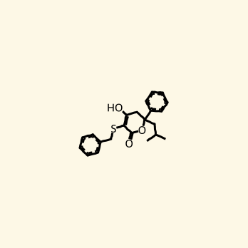 CC(C)CC1(c2ccccc2)CC(O)=C(SCc2ccccc2)C(=O)O1